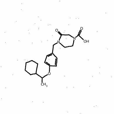 CC(Oc1ccc(CN2CCN(C(=O)O)CC2=O)cc1)C1CCCCC1